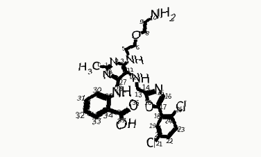 Cc1nc(NCCOCCN)c(NCc2ncc(-c3cc(Cl)ccc3Cl)o2)c(Nc2ccccc2C(=O)O)n1